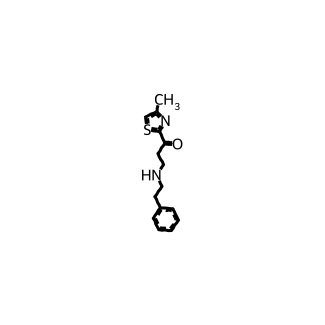 Cc1csc(C(=O)CCNCCc2ccccc2)n1